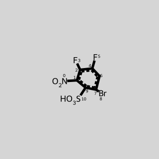 O=[N+]([O-])c1c(F)c(F)cc(Br)c1S(=O)(=O)O